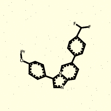 CC(C)Oc1ccc(-c2cnc3ccc(-c4ccc(C(F)F)cc4)cn23)cc1